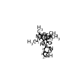 CCn1nc(C)c(Br)c1C(=O)[C@](N)(CC(C)(C)C)C(=O)N[C@H](C#N)C[C@@H]1CCNC1=O